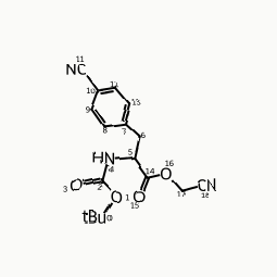 CC(C)(C)OC(=O)NC(Cc1ccc(C#N)cc1)C(=O)OCC#N